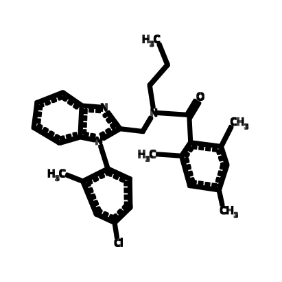 CCCN(Cc1nc2ccccc2n1-c1ccc(Cl)cc1C)C(=O)c1c(C)cc(C)cc1C